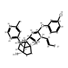 Cc1cc(N2C[C@H]3CC[C@@H](C2)[C@@H]3Nc2nc(Oc3cccc(Cl)c3)n(C=CF)n2)ncn1